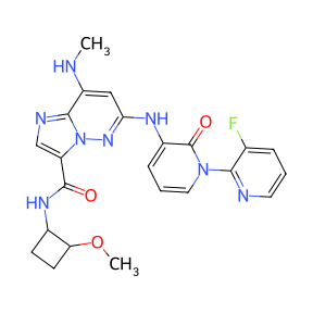 CNc1cc(Nc2cccn(-c3ncccc3F)c2=O)nn2c(C(=O)NC3CCC3OC)cnc12